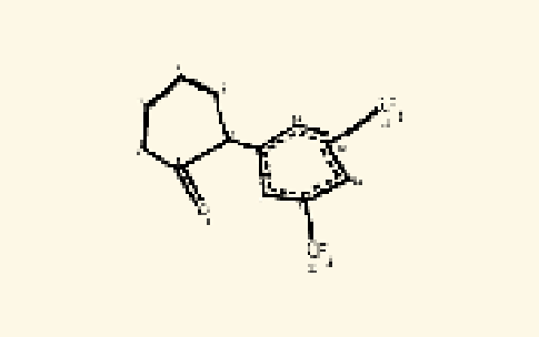 O=C1CCCCC1c1cc(C(F)(F)F)cc(C(F)(F)F)c1